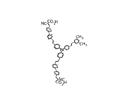 [C-]#[N+]/C(=C\c1ccc(-c2ccc(/C=C/c3ccc(N(c4ccc(/C=C/c5cc(C)cc(C)c5)cc4)c4ccc(/C=C/c5ccc(-c6ccc(/C=C(\C#N)C(=O)O)s6)s5)cc4)cc3)s2)s1)C(=O)O